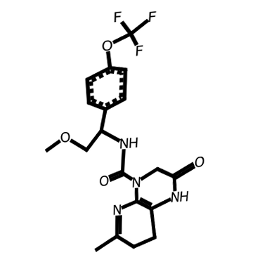 COCC(NC(=O)N1CC(=O)NC2=C1N=C(C)CC2)c1ccc(OC(F)(F)F)cc1